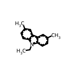 CCn1c2ccc(C)cc2c2cc(C)ccc21